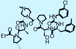 CCC(=O)[C@@H]1C[C@@H](C)CN1C(=O)[C@H](C)NC(=O)[C@@H]1CN(C)CCN1C(=O)[C@@H]1CCCN1C(=O)[C@H](CO)NC(=O)[C@H](Cc1cccc(C)c1)NC(=O)Nc1cccc(Cl)c1